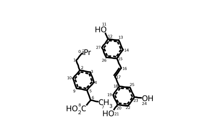 CC(C)Cc1ccc(C(C)C(=O)O)cc1.Oc1ccc(/C=C/c2cc(O)cc(O)c2)cc1